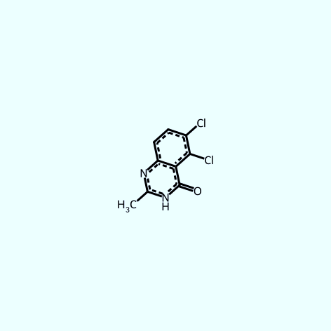 Cc1nc2ccc(Cl)c(Cl)c2c(=O)[nH]1